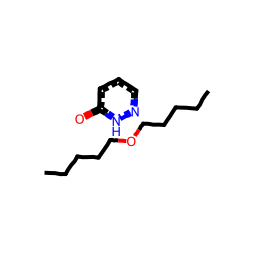 CCCCCOCCCCC.O=c1cccn[nH]1